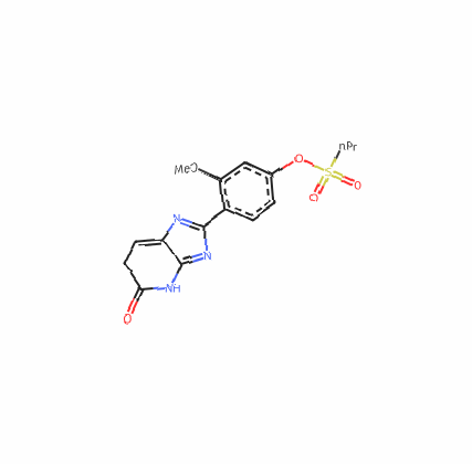 CCCS(=O)(=O)Oc1ccc(C2=NC3=CCC(=O)NC3=N2)c(OC)c1